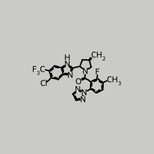 C=C1CC(c2nc3cc(Cl)c(C(F)(F)F)cc3[nH]2)N(C(=O)c2c(-n3nccn3)ccc(C)c2F)C1